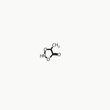 CC1ONOC1=O